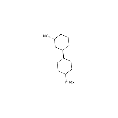 CCCCCCC1CCC([C@@H]2CCC[C@@H](C#N)C2)CC1